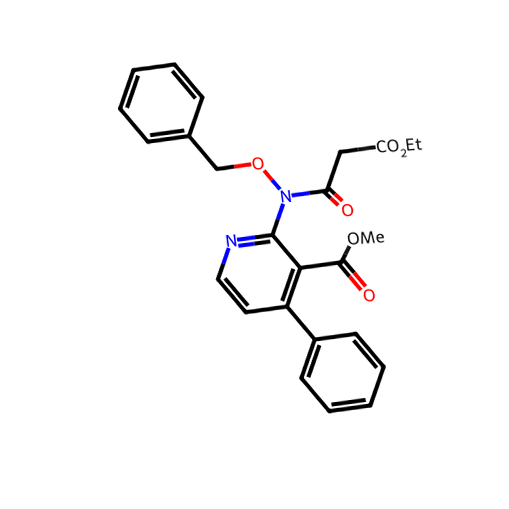 CCOC(=O)CC(=O)N(OCc1ccccc1)c1nccc(-c2ccccc2)c1C(=O)OC